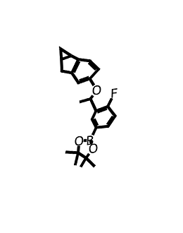 CC(Oc1ccc2c(c1)CC1CC21)c1cc(B2OC(C)(C)C(C)(C)O2)ccc1F